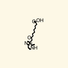 C=C1NC=Cc2ncc(CC(=O)CCCCCCCC(=O)O)n21